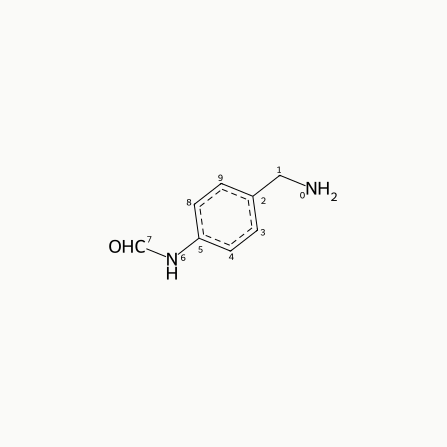 NCc1ccc(NC=O)cc1